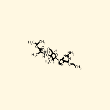 CCOc1nc(N)nc2c1ncn2[C@@H]1O[C@@H]2CO[PH](O)(NC(C)C(=O)OC(C)C)O[C@H]2[C@@]1(C)F